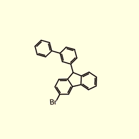 Brc1ccc2c(c1)-c1ccccc1C2c1cccc(-c2ccccc2)c1